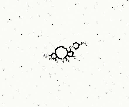 Cc1cc2c(c(=O)[nH]1)CNC(=O)c1cc(Cl)cc(O[C@H]3CC[C@H](N)CC3)c1CC=CCC2